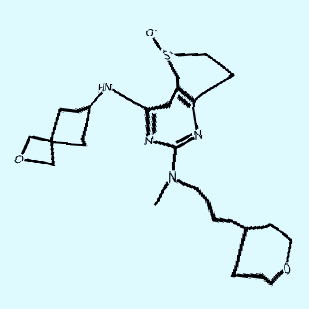 CN(CCC1CCOCC1)c1nc2c(c(NC3CC4(COC4)C3)n1)[S+]([O-])CC2